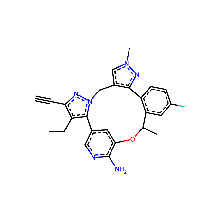 C#Cc1nn2c(c1CC)-c1cnc(N)c(c1)OC(C)c1cc(F)ccc1-c1nn(C)cc1C2